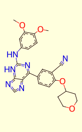 COc1ccc(Nc2nc(-c3ccc(OC4CCOCC4)c(C#N)c3)c3ncnc-3[nH]2)cc1OC